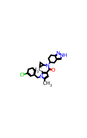 Cc1cc(C(=O)N(C2CC2)C2CCc3n[nH]cc3C2)c(C)n1CC1=CCCC(Cl)=C1